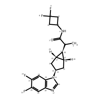 CC(C(=O)NC1CC(F)(F)C1)[C@H]1[C@@H]2C[C@@H](n3cnc4cc(F)c(F)cc43)C[C@@H]21